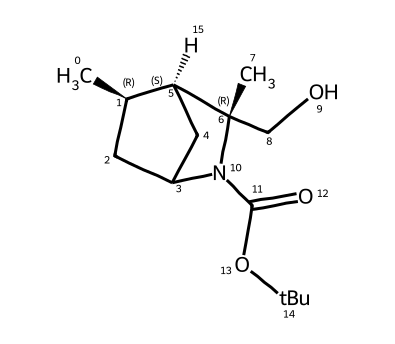 C[C@@H]1CC2C[C@@H]1[C@](C)(CO)N2C(=O)OC(C)(C)C